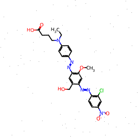 CCN(CCCC(=O)O)c1ccc(N=Nc2cc(CO)c(N=Nc3ccc([N+](=O)[O-])cc3Cl)cc2OC)cc1